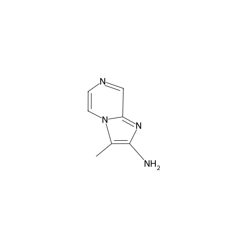 Cc1c(N)nc2cnccn12